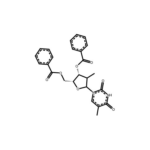 Cc1cn(C2O[C@H](COC(=O)c3ccccc3)[C@H](OC(=O)c3ccccc3)C2C)c(=O)[nH]c1=O